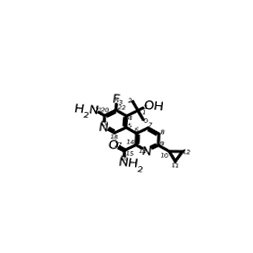 CC(C)(O)c1c(-c2ccc(C3CC3)nc2C(N)=O)cnc(N)c1F